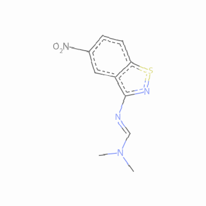 CN(C)/C=N/c1nsc2ccc([N+](=O)[O-])cc12